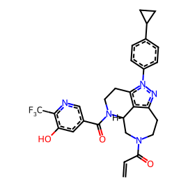 C=CC(=O)N1CCc2nn(-c3ccc(C4CC4)cc3)c3c2[C@H](C1)N(C(=O)c1cnc(C(F)(F)F)c(O)c1)CC3